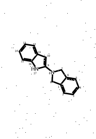 [C]1c2ccccc2CN1c1cc2ccccc2[nH]1